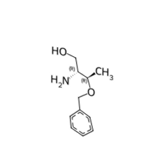 C[C@@H](OCc1ccccc1)[C@H](N)CO